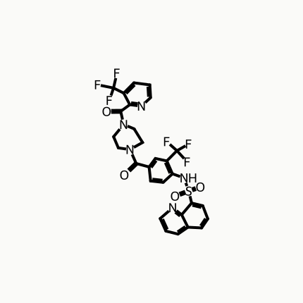 O=C(c1ccc(NS(=O)(=O)c2cccc3cccnc23)c(C(F)(F)F)c1)N1CCN(C(=O)c2ncccc2C(F)(F)F)CC1